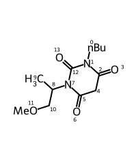 CCCCN1C(=O)CC(=O)N(C(C)COC)C1=O